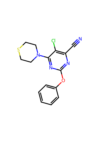 N#Cc1nc(Oc2ccccc2)nc(N2CCSCC2)c1Cl